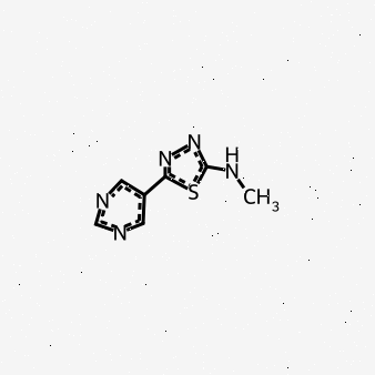 CNc1nnc(-c2cncnc2)s1